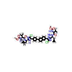 COC(=O)N[C@H](C(=O)N[C@@H](CC1CC1)c1nc(Cl)c(-c2ccc3cc(-c4ccc(-c5[nH]c([C@@H]6C[C@H]7C[C@H]7N6C(=O)[C@@H](NC(=O)OC)C(C)C)nc5Cl)cc4)ccc3c2)[nH]1)C(C)C